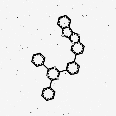 c1ccc(-c2nc(-c3ccccc3)nc(-c3cccc(-c4ccc5nc6c7ccccc7oc6n5c4)c3)n2)cc1